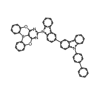 c1ccc(-c2ccc(-n3c4ccccc4c4cc(-c5ccc6c(c5)c5ccccc5n6-c5nc6c7c(n5)Oc5ccccc5B7c5ccccc5O6)ccc43)cc2)cc1